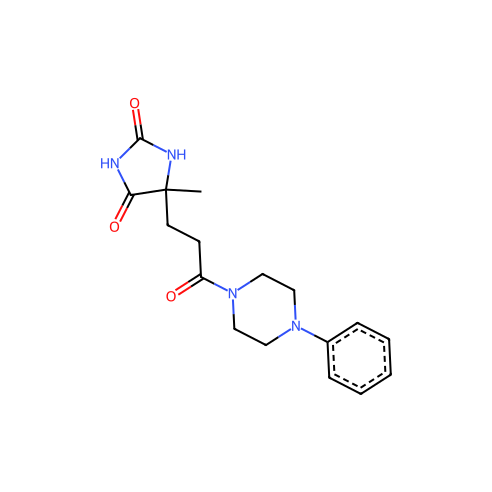 CC1(CCC(=O)N2CCN(c3ccccc3)CC2)NC(=O)NC1=O